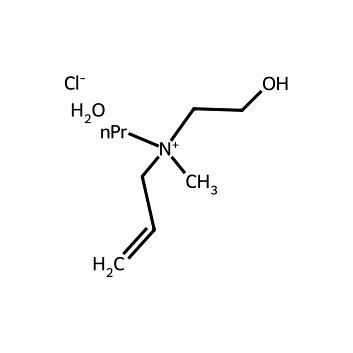 C=CC[N+](C)(CCC)CCO.O.[Cl-]